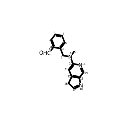 CN(Cc1ccccc1C=O)c1cc2c(cn1)N=CC2